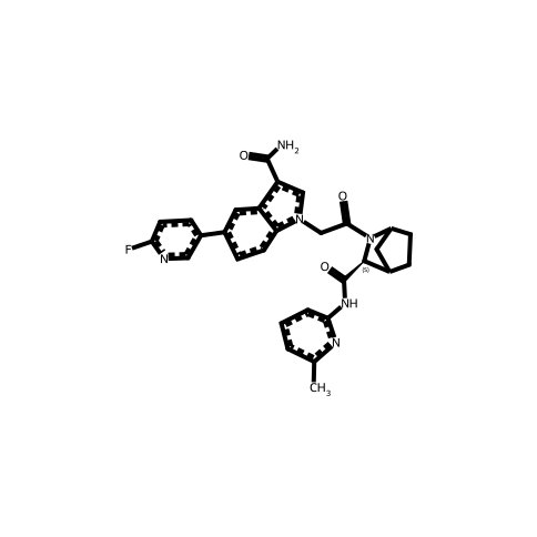 Cc1cccc(NC(=O)[C@@H]2C3CCC(C3)N2C(=O)Cn2cc(C(N)=O)c3cc(-c4ccc(F)nc4)ccc32)n1